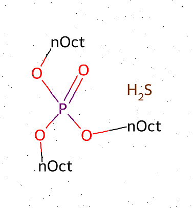 CCCCCCCCOP(=O)(OCCCCCCCC)OCCCCCCCC.S